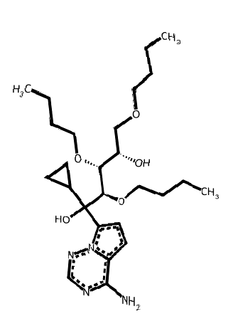 CCCCOC[C@H](O)[C@@H](OCCCC)[C@@H](OCCCC)C(O)(c1ccc2c(N)ncnn12)C1CC1